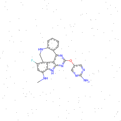 CNc1cc(F)c2c3c1[nH]c1nc(Oc4cnc(N)nc4)nc(c13)-c1ccccc1NC2